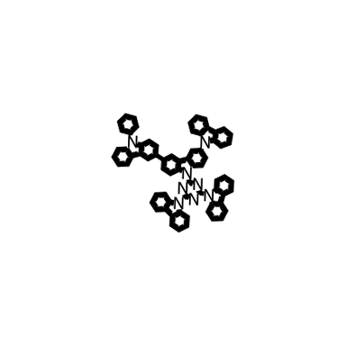 c1ccc(-n2c3ccccc3c3cc(-c4ccc5c(c4)c4cc(-n6c7ccccc7c7ccccc76)ccc4n5-c4nc(-n5c6ccccc6c6ccccc65)nc(-n5c6ccccc6c6ccccc65)n4)ccc32)cc1